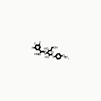 N=N/C(=C\NC1C(O)[C@@H](Sc2ccc(OC(F)(F)F)cc2)OC(CO)[C@@H]1O)c1cc(F)c(F)c(F)c1